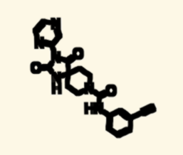 C#Cc1cccc(NC(=O)N2CCC3(CC2)NC(=O)N(c2cnccn2)C3=O)c1